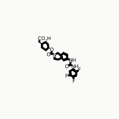 O=C(O)C[C@H]1CC[C@H](OC(=O)N2CCc3cc(NC(=O)Nc4cc(F)c(F)cc4F)ccc3C2)CC1